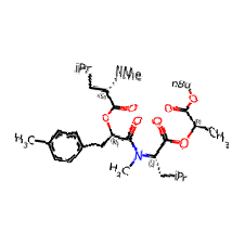 CCCCOC(=O)[C@@H](C)OC(=O)[C@H](CC(C)C)N(C)C(=O)[C@@H](Cc1ccc(C)cc1)OC(=O)[C@H](CC(C)C)NC